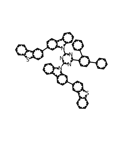 c1ccc(-c2ccc(-c3nc(-n4c5ccccc5c5ccc(-c6ccc7sc8ccccc8c7c6)cc54)nc(-n4c5ccccc5c5ccc(-c6ccc7sc8ccccc8c7c6)cc54)n3)c(-c3ccccc3)c2)cc1